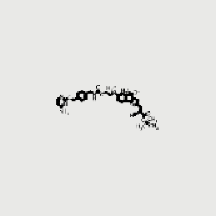 CN(CCOC(=O)NCc1ccc(COc2nccc(N)n2)cc1)c1ccc2c(c1)C(C)(C)c1cc(/C=C(\C#N)C(=O)OC(C)(C)C)sc1-2